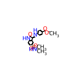 CCOC(=O)c1ccc(NC=C2C(=O)Nc3ccc(S(=O)(=O)NC(C)C)cc32)cc1